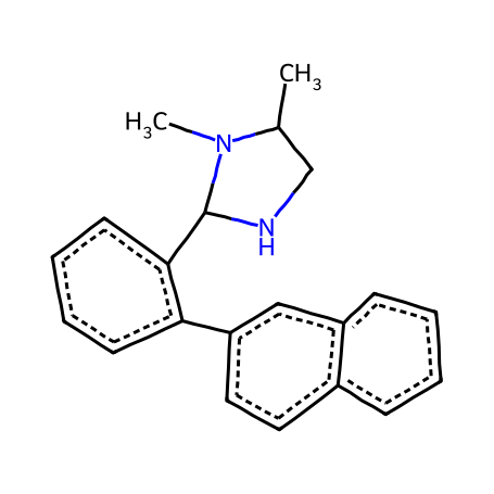 CC1CNC(c2ccccc2-c2ccc3ccccc3c2)N1C